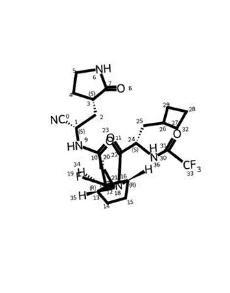 N#C[C@H](C[C@@H]1CCNC1=O)NC(=O)[C@@H]1[C@H]2CC[C@H](CC2(F)F)N1C(=O)[C@H](CC1CCC1)NC(=O)C(F)(F)F